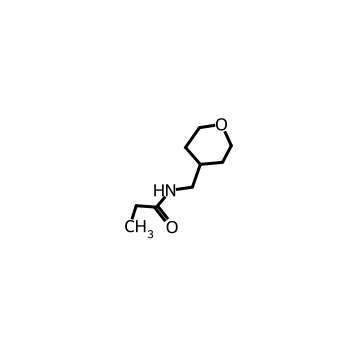 CCC(=O)NCC1CCOCC1